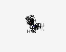 CC(C)(O/N=C(\C(=O)NC1CNC1=O)c1csc(NC(c2ccccc2)(c2ccccc2)c2ccccc2)n1)C(=O)O